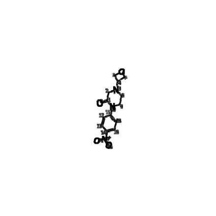 O=C1CN(C2COC2)CCN1c1ccc([N+](=O)[O-])cc1